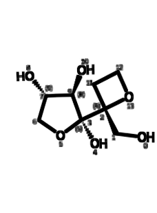 OC[C@@]1([C@@]2(O)OC[C@H](O)[C@H]2O)CCO1